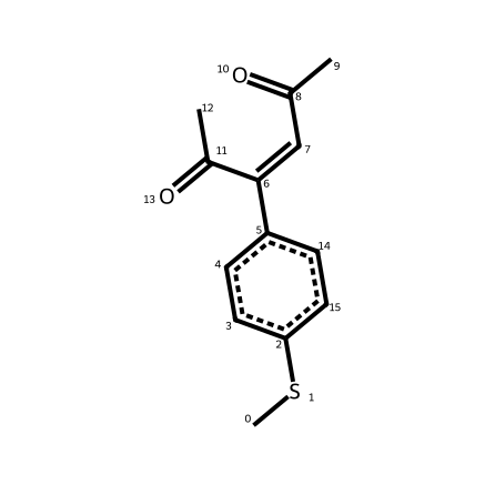 CSc1ccc(C(=CC(C)=O)C(C)=O)cc1